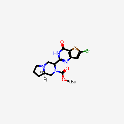 CC(C)(C)OC(=O)N1C[C@H]2CCCN2CC1c1nc2cc(Br)sc2c(=O)[nH]1